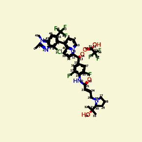 Cc1nc2c(Cl)c(-c3cccn4c(C(=O)c5cc(F)c(NC(=O)/C=C/CN6CCCC6C(C)(C)O)c(F)c5)ccc34)c(C(F)(F)F)cc2n1C.O=C(O)C(F)(F)F